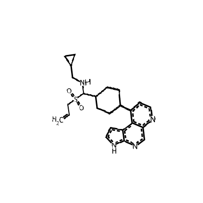 C=CCS(=O)(=O)C(NCC1CC1)C1CCC(c2ccnc3cnc4[nH]ccc4c23)CC1